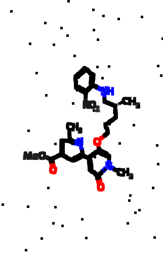 COC(=O)c1cc(C)nc(-c2cc(=O)n(C)cc2OCCC[C@@H](C)CNc2ccccc2[N+](=O)[O-])c1